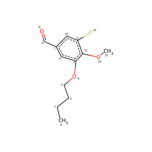 CCCCOc1cc(C=O)cc(F)c1OC